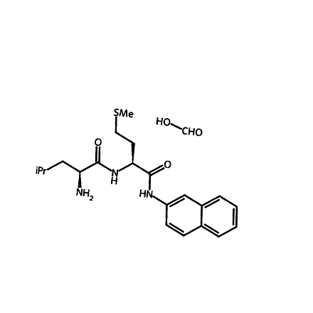 CSCC[C@H](NC(=O)[C@@H](N)CC(C)C)C(=O)Nc1ccc2ccccc2c1.O=CO